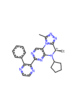 CC[C@@H]1c2nnc(C)n2-c2cnc(-c3nccnc3-c3ccccc3)nc2N1C1CCCC1